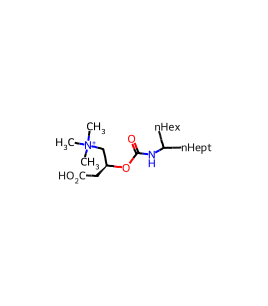 CCCCCCCC(CCCCCC)NC(=O)O[C@@H](CC(=O)O)C[N+](C)(C)C